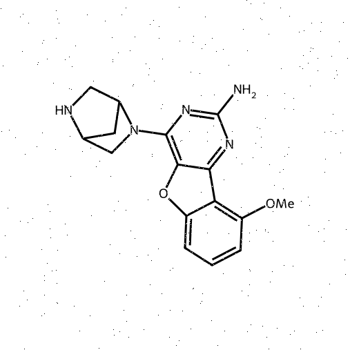 COc1cccc2oc3c(N4CC5CC4CN5)nc(N)nc3c12